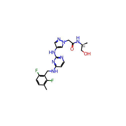 Cc1ccc(F)c(CNc2ccnc(Nc3cnn(CC(=O)N[C@@H](C)CO)c3)n2)c1F